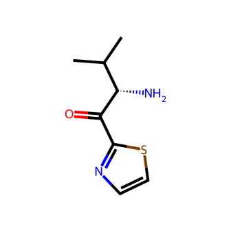 CC(C)[C@H](N)C(=O)c1nccs1